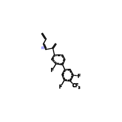 C=C/C=C\C(=C)c1ccc(-c2cc(F)c(C(F)(F)F)c(F)c2)c(F)c1